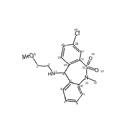 COCCNC1c2ccccc2N(C)S(=O)(=O)c2cc(Cl)ccc21